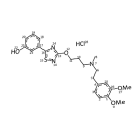 COc1ccc(CCN(C)CCCOc2nsc(-c3cccc(O)c3)n2)cc1OC.Cl